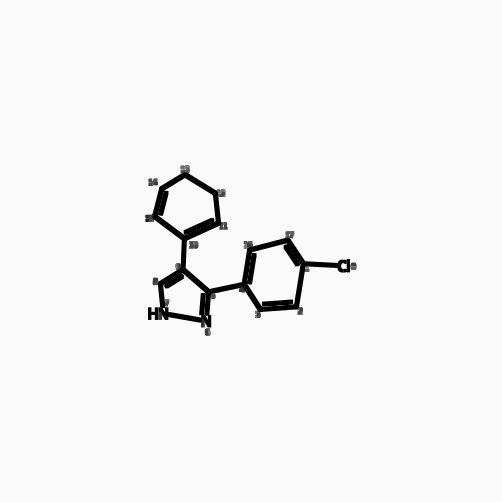 Clc1ccc(-c2n[nH]cc2C2=CCCC=C2)cc1